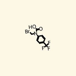 O=C(O)N(CBr)c1ccc(C(F)(F)F)cc1